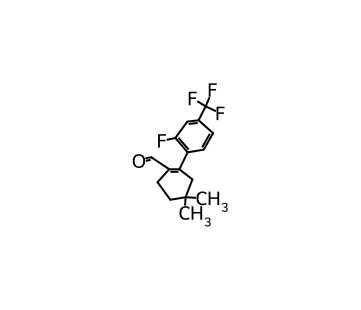 CC1(C)CCC(C=O)=C(c2ccc(C(F)(F)F)cc2F)C1